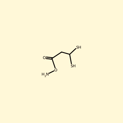 NOC(=O)CC(S)S